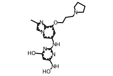 Cc1cn2cc(Nc3nc(O)cc(NO)n3)cc(OCCCN3CCCC3)c2n1